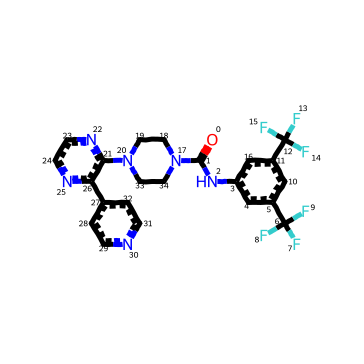 O=C(Nc1cc(C(F)(F)F)cc(C(F)(F)F)c1)N1CCN(c2nccnc2-c2ccncc2)CC1